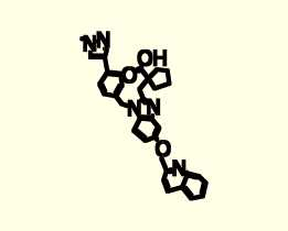 Cn1cc(-c2ccc(Cn3c(CC4(C(=O)O)CCCC4)nc4cc(OCc5ccc6ccccc6n5)ccc43)cc2)cn1